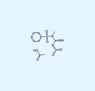 CC(=O)O.CN(C(=N)N=S(=O)=O)S(=O)(=O)c1ccccc1